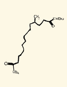 CC(C)COC(=O)CCCCCCCCC(C)CCC(=O)OCC(C)C